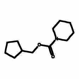 O=C(OCC1CCCC1)N1CCCCC1